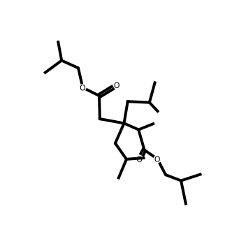 CC(C)COC(=O)CC(CC(C)C)(CC(C)C)C(C)C(=O)OCC(C)C